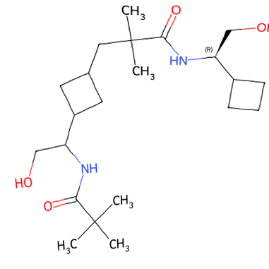 CC(C)(C)C(=O)NC(CO)C1CC(CC(C)(C)C(=O)N[C@@H](CO)C2CCC2)C1